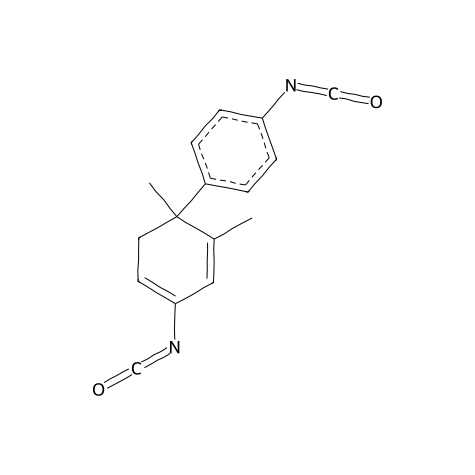 CC1=CC(N=C=O)=CCC1(C)c1ccc(N=C=O)cc1